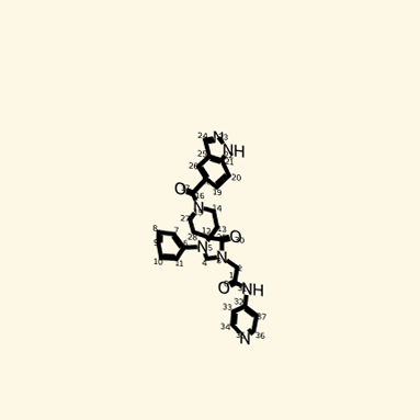 O=C(CN1CN(c2ccccc2)C2(CCN(C(=O)c3ccc4[nH]ncc4c3)CC2)C1=O)Nc1ccncc1